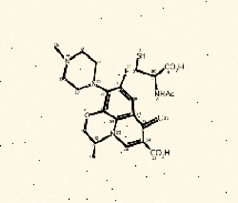 CC(=O)N[C@@H](CS)C(=O)O.C[C@H]1COc2c(N3CCN(C)CC3)c(F)cc3c(=O)c(C(=O)O)cn1c23